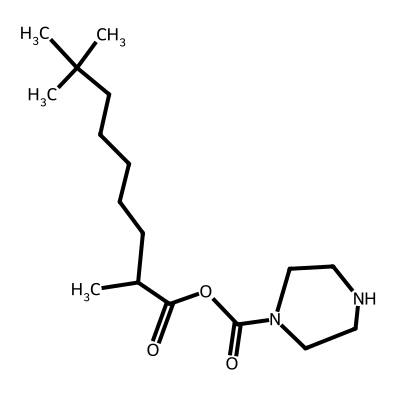 CC(CCCCCC(C)(C)C)C(=O)OC(=O)N1CCNCC1